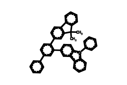 CC1(C)c2ccccc2-c2ccc(-c3ccc(-c4ccccc4)cc3-c3ccc4c(c3)c3ccccc3n4-c3ccccc3)cc21